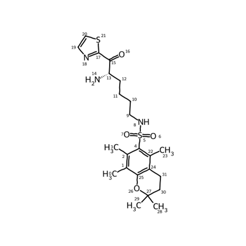 Cc1c(C)c(S(=O)(=O)NCCCC[C@H](N)C(=O)c2nccs2)c(C)c2c1OC(C)(C)CC2